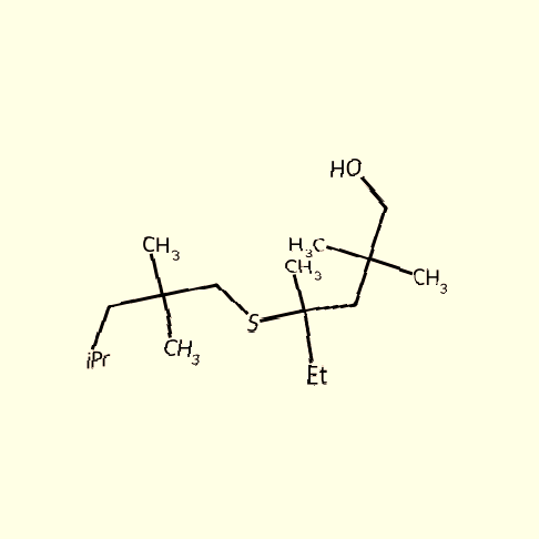 CCC(C)(CC(C)(C)CO)SCC(C)(C)CC(C)C